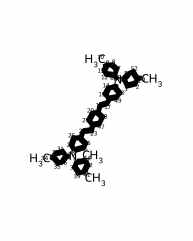 Cc1ccc(N(c2ccc(C)cc2)c2ccc(C=Cc3ccc(C=Cc4ccc(N(c5ccc(C)cc5)c5ccc(C)cc5C)cc4)cc3)cc2)cc1